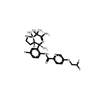 CC1(C)C(N)=N[C@](C)(c2cc(F)ccc2NC(=O)c2ccc(OCC(F)F)cn2)[C@@H]2CCNS21O